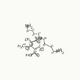 COc1c(Cl)ccc(Cl)c1C(=O)O.NCCCCNCCCCN